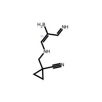 B/C(C=N)=C/NCC1(C#N)CC1